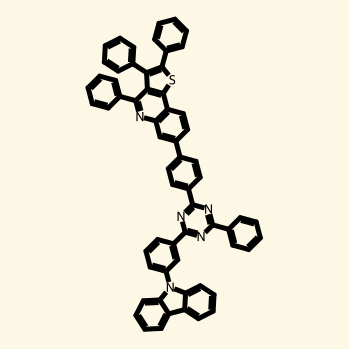 c1ccc(-c2nc(-c3ccc(-c4ccc5c(c4)nc(-c4ccccc4)c4c(-c6ccccc6)c(-c6ccccc6)sc45)cc3)nc(-c3cccc(-n4c5ccccc5c5ccccc54)c3)n2)cc1